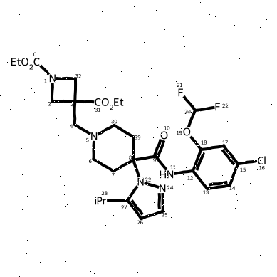 CCOC(=O)N1CC(CN2CCC(C(=O)Nc3ccc(Cl)cc3OC(F)F)(n3nccc3C(C)C)CC2)(C(=O)OCC)C1